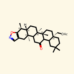 CC(=O)OC[C@]12CCC(C)(C)CC1C1C(=O)CC3[C@@]4(C)Cc5cnoc5[C@@H](C)[C@@H]4CC[C@@]3(C)[C@]1(C)CC2